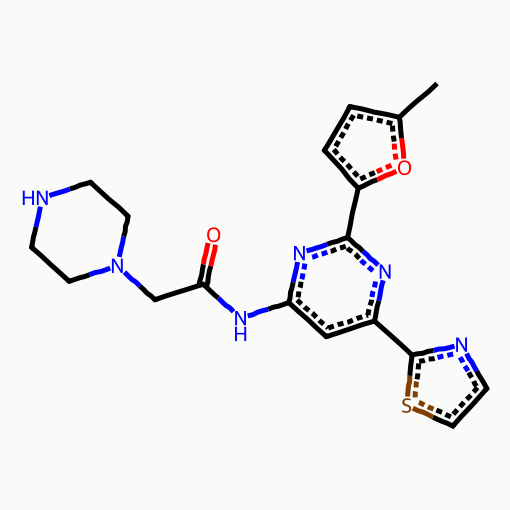 Cc1ccc(-c2nc(NC(=O)CN3CCNCC3)cc(-c3nccs3)n2)o1